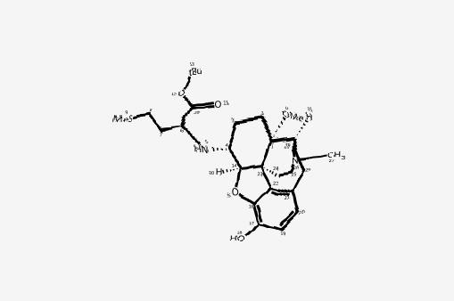 CO[C@@]12CC[C@@H](N[C@@H](CCSC)C(=O)OC(C)(C)C)[C@@H]3Oc4c(O)ccc5c4[C@@]31CCN(C)[C@@H]2C5